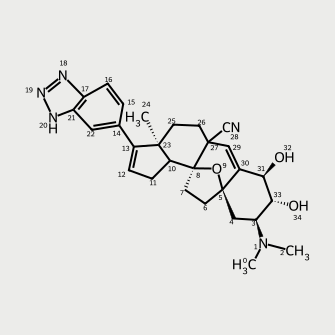 CN(C)[C@H]1C[C@@]23CC[C@]4(O2)C2CC=C(c5ccc6nn[nH]c6c5)[C@@]2(C)CCC4(C#N)C=C3[C@@H](O)[C@@H]1O